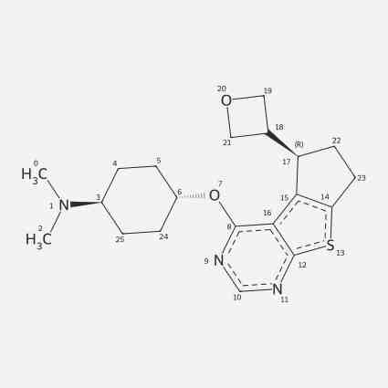 CN(C)[C@H]1CC[C@H](Oc2ncnc3sc4c(c23)[C@@H](C2COC2)CC4)CC1